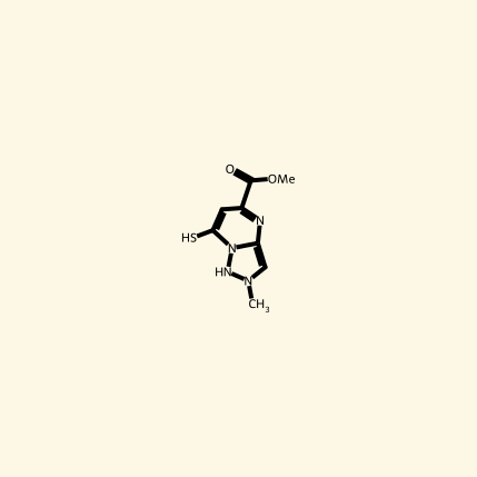 COC(=O)C1=NC2=CN(C)NN2C(S)=C1